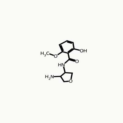 COc1cccc(O)c1C(=O)NC1COCC1N